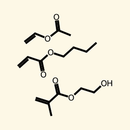 C=C(C)C(=O)OCCO.C=CC(=O)OCCCC.C=COC(C)=O